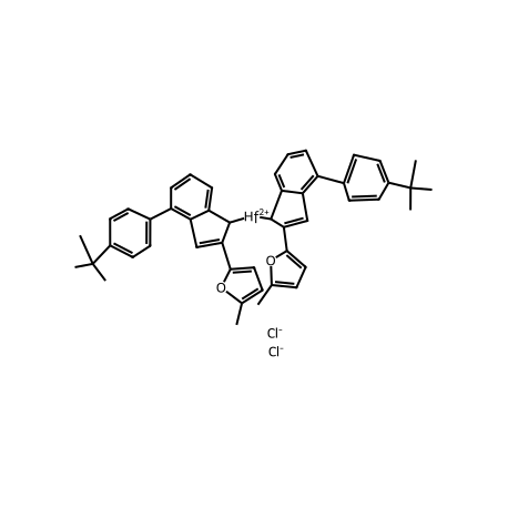 Cc1ccc(C2=Cc3c(-c4ccc(C(C)(C)C)cc4)cccc3[CH]2[Hf+2][CH]2C(c3ccc(C)o3)=Cc3c(-c4ccc(C(C)(C)C)cc4)cccc32)o1.[Cl-].[Cl-]